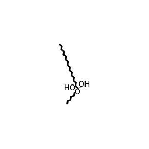 C=CCCCCO[C@@H](CO)C(O)CCCCCCCCCCCCCCCC